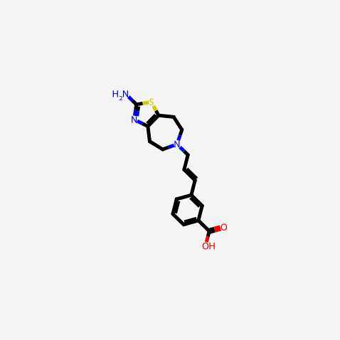 Nc1nc2c(s1)CCN(C/C=C/c1cccc(C(=O)O)c1)CC2